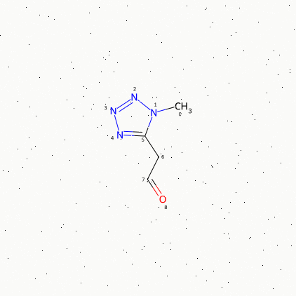 Cn1nnnc1C[C]=O